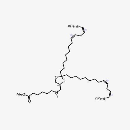 CCCCC/C=C\C/C=C\CCCCCCCCC1(CCCCCCCC/C=C\C/C=C\CCCCC)OC[C@H](CN(C)CCCCCC(=O)OC)O1